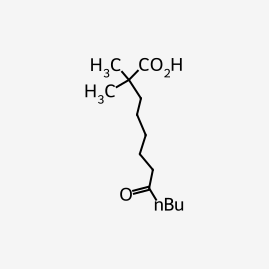 CCCCC(=O)CCCCCC(C)(C)C(=O)O